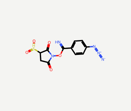 [N-]=[N+]=Nc1ccc(C(=N)ON2C(=O)CC([SH](=O)=O)C2=O)cc1